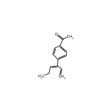 C=C/C(=C\CC)c1ccc(C(C)=O)cc1